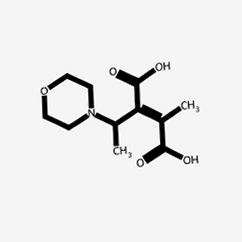 C/C(C(=O)O)=C(\C(=O)O)C(C)N1CCOCC1